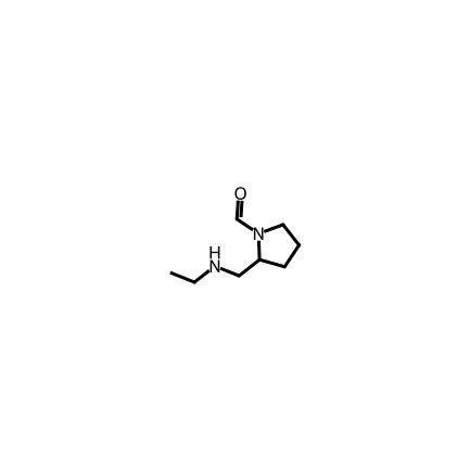 CCNCC1CCCN1C=O